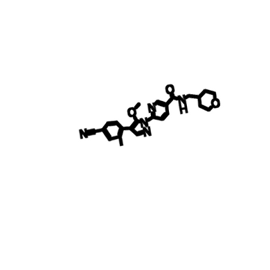 COc1c(-c2ccc(C#N)cc2C)cnn1-c1ccc(C(=O)NCC2CCOCC2)cn1